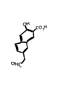 O=CCc1ccc2cc(O)c(C(=O)O)cc2c1